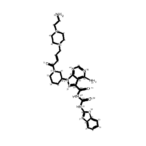 NCCN1CCN(CC=CC(=O)N2CCCC(n3nc(C(=O)NC(=O)Nc4nc5ccccc5o4)c4c(N)ncnc43)C2)CC1